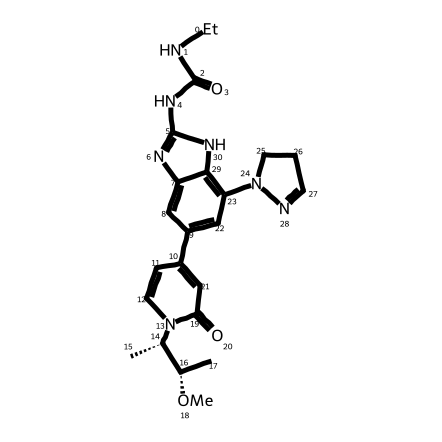 CCNC(=O)Nc1nc2cc(-c3ccn([C@@H](C)[C@H](C)OC)c(=O)c3)cc(N3CCC=N3)c2[nH]1